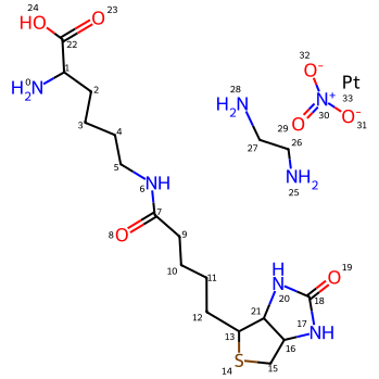 NC(CCCCNC(=O)CCCCC1SCC2NC(=O)NC21)C(=O)O.NCCN.O=[N+]([O-])[O-].[Pt]